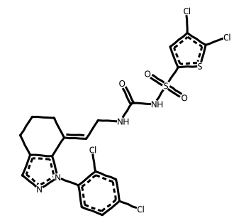 O=C(NCC=C1CCCc2cnn(-c3ccc(Cl)cc3Cl)c21)NS(=O)(=O)c1cc(Cl)c(Cl)s1